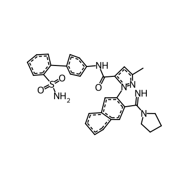 Cc1cc(C(=O)Nc2ccc(-c3ccccc3S(N)(=O)=O)cc2)n(-c2cc3ccccc3cc2C(=N)N2CCCC2)n1